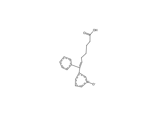 O=C(O)CCCC/C=C(\c1ccccc1)c1ccc[n+]([O-])c1